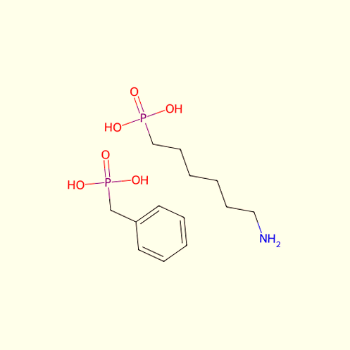 NCCCCCCP(=O)(O)O.O=P(O)(O)Cc1ccccc1